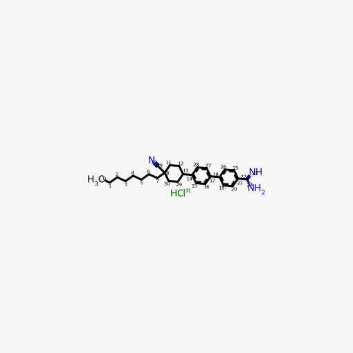 CCCCCCCCC1(C#N)CCC(c2ccc(-c3ccc(C(=N)N)cc3)cc2)CC1.Cl